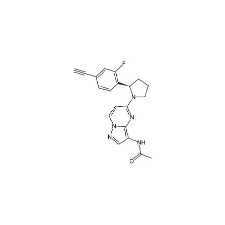 C#Cc1ccc([C@H]2CCCN2c2ccn3ncc(NC(C)=O)c3n2)c(F)c1